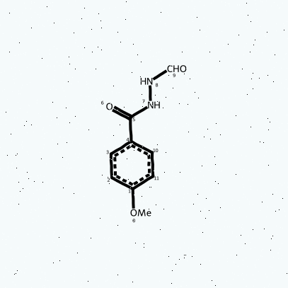 COc1ccc(C(=O)NNC=O)cc1